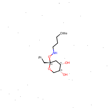 COCCCNO[C@]1(CC(C)C)C[C@H](O)[C@H](O)CO1